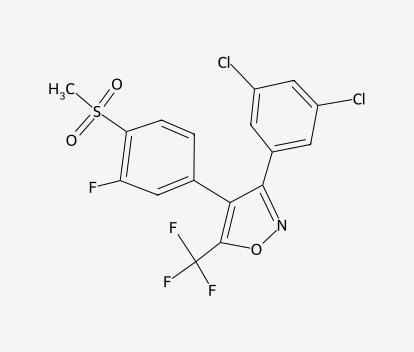 CS(=O)(=O)c1ccc(-c2c(-c3cc(Cl)cc(Cl)c3)noc2C(F)(F)F)cc1F